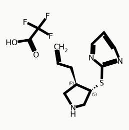 C=CC[C@@H]1CNC[C@H]1Sc1ncccn1.O=C(O)C(F)(F)F